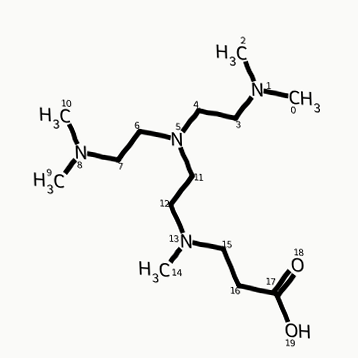 CN(C)CCN(CCN(C)C)CCN(C)CCC(=O)O